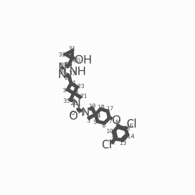 O=C(N1CC2(CCC(Oc3cc(Cl)ccc3Cl)CC2)C1)N1CC2(CC(c3nnc(C4(O)CC4)[nH]3)C2)C1